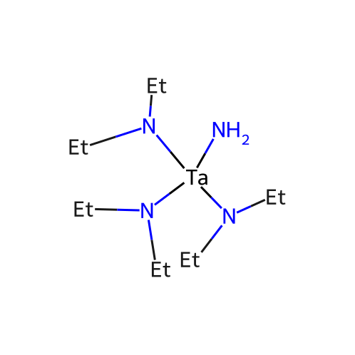 CC[N](CC)[Ta]([NH2])([N](CC)CC)[N](CC)CC